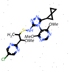 COc1ncnc(OC)c1-n1c(NSC(C)C(OC)c2ncc(Cl)cn2)nnc1C1CC12CC2